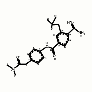 CN(C)C(=O)Cc1ccc(OC(=O)c2ccc(C(=N)N)c(CC(C)(C)C)c2)cc1